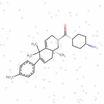 CC1(C)C(c2ccc(C(=O)O)cc2)=CC[C@]2(C)CN(C(=O)[C@H]3CC[C@H](N)CC3)CC=C12